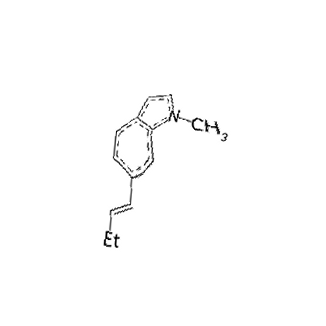 CC/C=C/c1ccc2ccn(C)c2c1